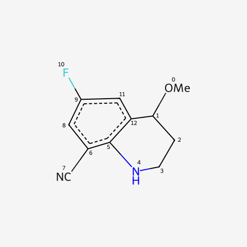 COC1CCNc2c(C#N)cc(F)cc21